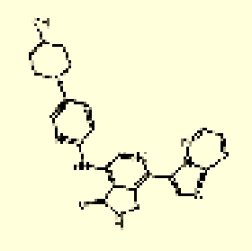 O=C1NCc2c(-c3cnc4cccnn34)ncc(Nc3ccc(N4CCC(O)CC4)cn3)c21